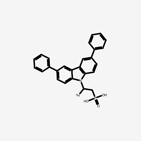 [2H]C(CP(=O)(O)O)n1c2ccc(-c3ccccc3)cc2c2cc(-c3ccccc3)ccc21